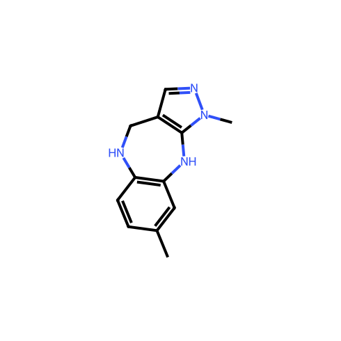 Cc1ccc2c(c1)Nc1c(cnn1C)CN2